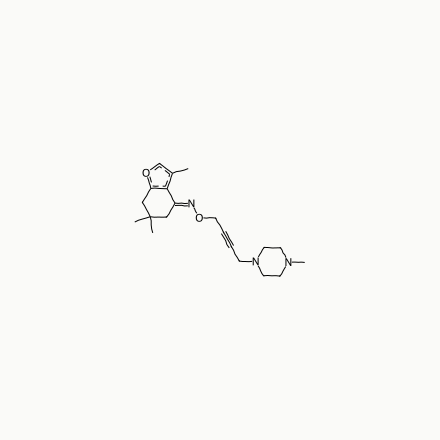 Cc1coc2c1/C(=N/OCC#CCN1CCN(C)CC1)CC(C)(C)C2